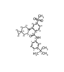 CC(C)(C)c1cccc(NC(=O)c2ccc(S(C)(=O)=O)cc2N2CCC3(CC2)CC3)c1